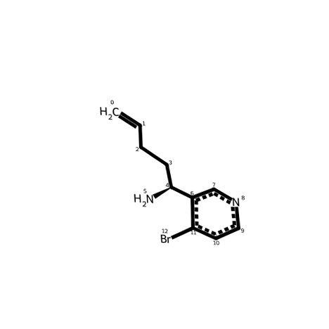 C=CCC[C@H](N)c1cnccc1Br